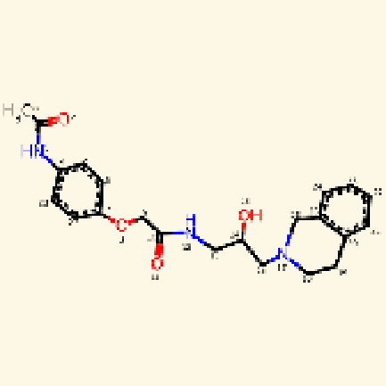 CC(=O)Nc1ccc(OCC(=O)NCC(O)CN2CCc3ccccc3C2)cc1